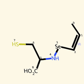 C/C=C\[Se]NC(CS)C(=O)O